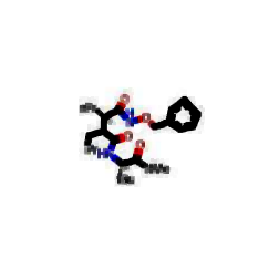 CCC[C@@H](C(=O)NOCc1ccccc1)C(CC(C)C)C(=O)N[C@H](C(=O)NC)C(C)(C)C